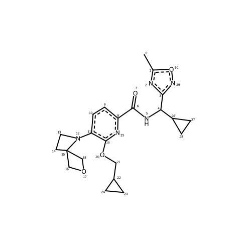 Cc1nc(C(NC(=O)c2ccc(N3CCC34COC4)c(OCC3CC3)n2)C2CC2)no1